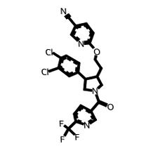 N#Cc1ccc(OCCC2CN(C(=O)c3ccc(C(F)(F)F)nc3)CC2c2ccc(Cl)c(Cl)c2)nc1